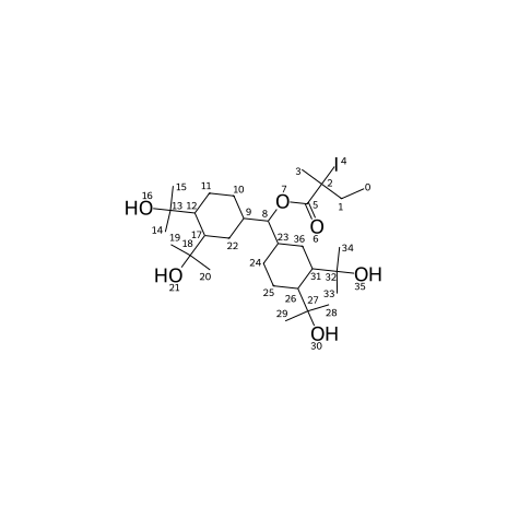 CCC(C)(I)C(=O)OC(C1CCC(C(C)(C)O)C(C(C)(C)O)C1)C1CCC(C(C)(C)O)C(C(C)(C)O)C1